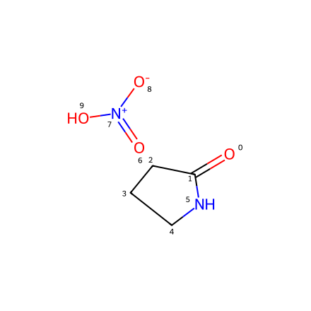 O=C1CCCN1.O=[N+]([O-])O